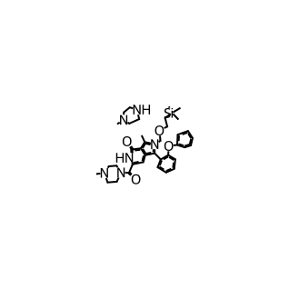 CN1CCNCC1.Cc1c2c(=O)[nH]c(C(=O)N3CCN(C)CC3)cc2c(-c2ccccc2Oc2ccccc2)n1COCC[Si](C)(C)C